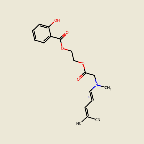 CN(/C=C/C=C(C#N)C#N)CC(=O)OCCOC(=O)c1ccccc1O